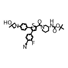 CC1(O)CN(c2ccc(-c3sc(C(=O)N4CCC[C@@H](NC(=O)OC(C)(C)C)C4)cc3-c3ccc(C#N)c(F)c3)cc2)C1